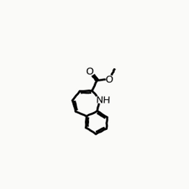 COC(=O)C1=CC=Cc2ccccc2N1